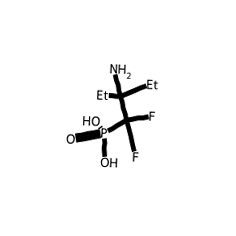 CCC(N)(CC)C(F)(F)P(=O)(O)O